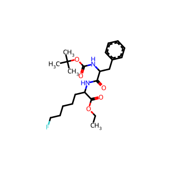 CCOC(=O)C(CCCCCF)NC(=O)C(Cc1ccccc1)NC(=O)OC(C)(C)C